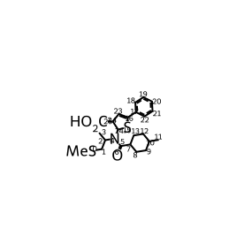 CSCC(C)N(C(=O)C1CCC(C)CC1)C1SC(c2ccccc2)=CC1C(=O)O